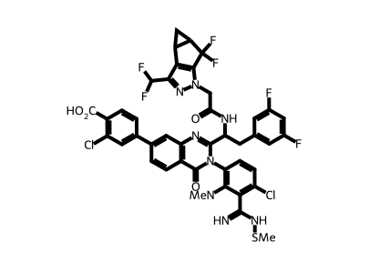 CNc1c(-n2c(C(Cc3cc(F)cc(F)c3)NC(=O)Cn3nc(C(F)F)c4c3C(F)(F)C3CC43)nc3cc(-c4ccc(C(=O)O)c(Cl)c4)ccc3c2=O)ccc(Cl)c1C(=N)NSC